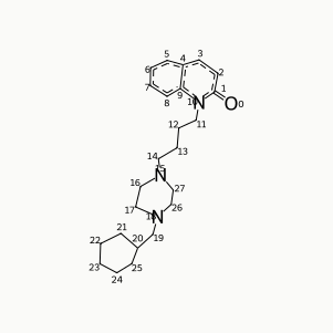 O=c1ccc2ccccc2n1CCCCN1CCN(CC2CCCCC2)CC1